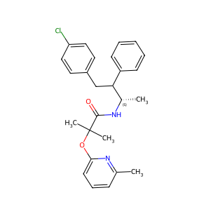 Cc1cccc(OC(C)(C)C(=O)N[C@@H](C)C(Cc2ccc(Cl)cc2)c2ccccc2)n1